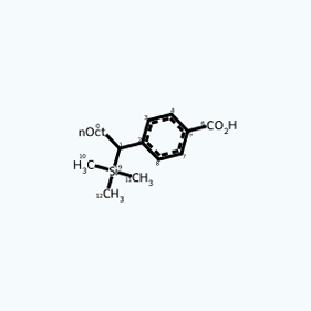 CCCCCCCCC(c1ccc(C(=O)O)cc1)[Si](C)(C)C